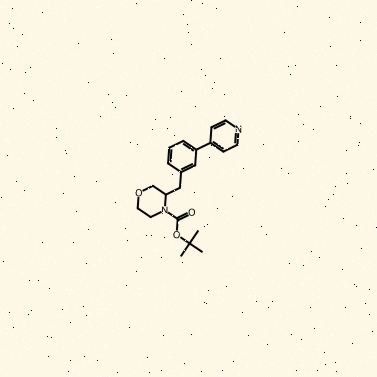 CC(C)(C)OC(=O)N1CCOCC1Cc1cccc(-c2ccncc2)c1